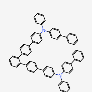 c1ccc(-c2ccc(N(c3ccccc3)c3ccc(-c4ccc(-c5ccccc5-c5ccc(-c6ccc(N(c7ccccc7)c7ccc(-c8ccccc8)cc7)cc6)cc5)cc4)cc3)cc2)cc1